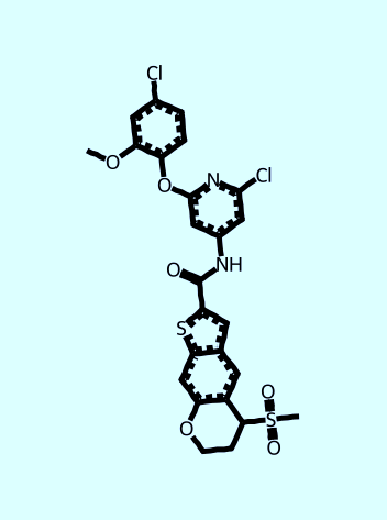 COc1cc(Cl)ccc1Oc1cc(NC(=O)c2cc3cc4c(cc3s2)OCCC4S(C)(=O)=O)cc(Cl)n1